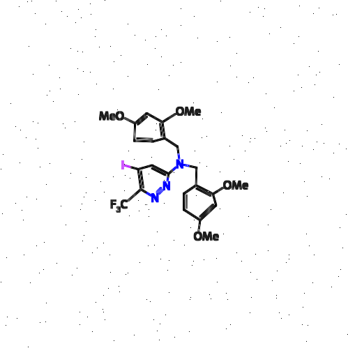 COc1ccc(CN(Cc2ccc(OC)cc2OC)c2cc(I)c(C(F)(F)F)nn2)c(OC)c1